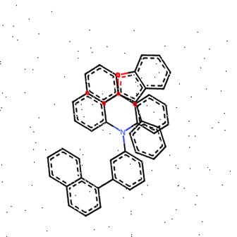 c1ccc(-c2ccccc2N(c2cccc(-c3cccc4ccccc34)c2)c2ccccc2-c2oc3ccccc3c2-c2ccccc2)cc1